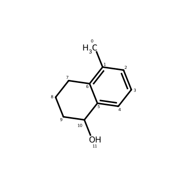 Cc1cccc2c1CCCC2O